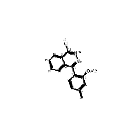 COc1cc(C)ccc1-c1nnc(Cl)c2ccccc12